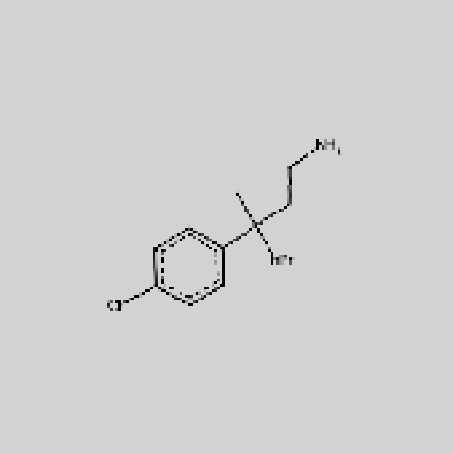 CCCC(C)(CCN)c1ccc(Cl)cc1